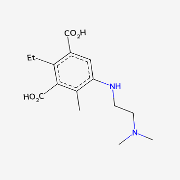 CCc1c(C(=O)O)cc(NCCN(C)C)c(C)c1C(=O)O